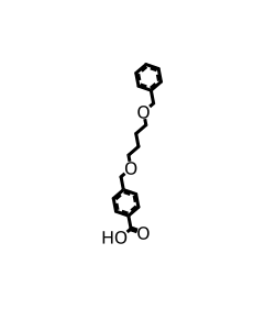 O=C(O)c1ccc(COCCCCOCc2ccccc2)cc1